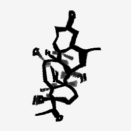 CC(=O)[C@@]1(O)CC[C@H]2[C@@H]3C=C(C)C4=CC(=O)CC[C@]4(C)[C@H]3[C@@H](Cl)C[C@@]21C